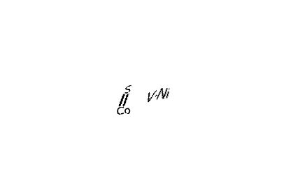 [Ni].[S]=[Co].[V]